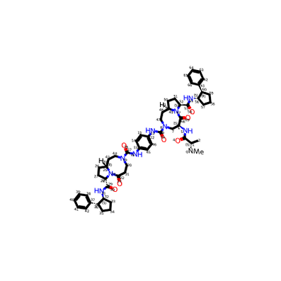 CN[C@@H](C)C(=O)N[C@H]1CN(C(=O)Nc2ccc(NC(=O)N3CCC(=O)N4[C@H](CC[C@H]4C(=O)N[C@H]4CCC[C@@H]4c4ccccc4)CC3)cc2)CC[C@H]2CC[C@@H](C(=O)N[C@H]3CCC[C@@H]3c3ccccc3)N2C1=O